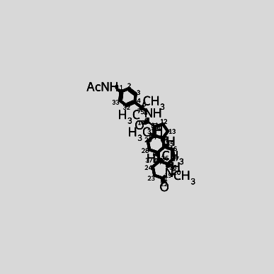 CC(=O)Nc1ccc(C(C)(C)NC(=O)[C@H]2CC[C@H]3[C@@H]4CC[C@H]5N(C)C(=O)CC[C@]5(C)[C@H]4CC[C@]23C)cc1